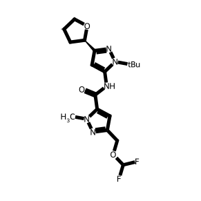 Cn1nc(COC(F)F)cc1C(=O)Nc1cc([C@H]2C[CH]CO2)nn1C(C)(C)C